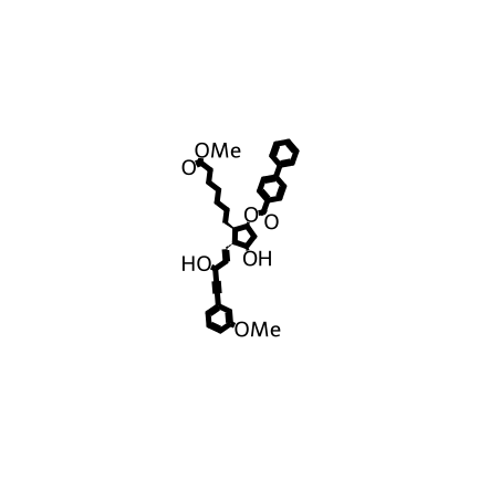 COC(=O)CCCCCC[C@@H]1[C@@H](C=CC(O)C#Cc2cccc(OC)c2)[C@H](O)C[C@@H]1OC(=O)c1ccc(-c2ccccc2)cc1